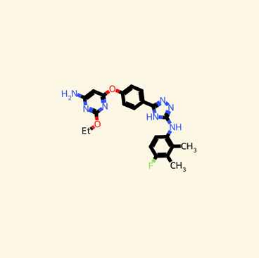 CCOc1nc(N)cc(Oc2ccc(-c3nnc(Nc4ccc(F)c(C)c4C)[nH]3)cc2)n1